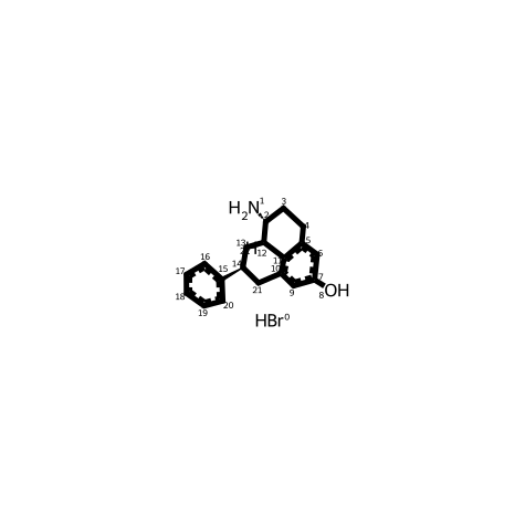 Br.N[C@@H]1CCc2cc(O)cc3c2[C@H]1C[C@H](c1ccccc1)C3